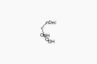 CCCCCCCCCCCCCC/C=C\CCCC(=O)NCc1ccc(O)cc1